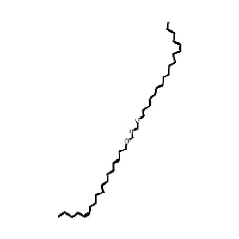 CCCC/C=C\CCCCCCCC/C=C/CCOCOCOCC/C=C/CCCCCCCC/C=C\CCCC